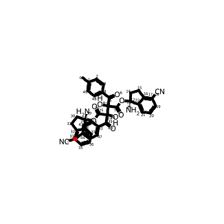 Cc1ccc(C(=O)C(O)(C(=O)O[C@@]2(N)CCc3c(C#N)cccc32)C(O)(C(=O)O[C@@]2(N)CCc3c(C#N)cccc32)C(=O)c2ccc(C)cc2)cc1